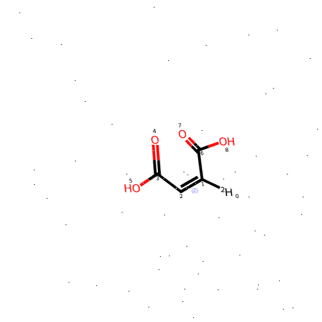 [2H]/C(=C/C(=O)O)C(=O)O